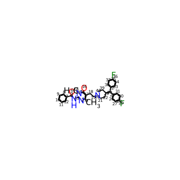 Cc1nc(NC(=O)c2ccccc2)n(C)c(=O)c1CCN1CCC(=C(c2ccc(F)cc2)c2ccc(F)cc2)CC1